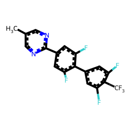 Cc1cnc(-c2cc(F)c(-c3cc(F)c(C(F)(F)F)c(F)c3)c(F)c2)nc1